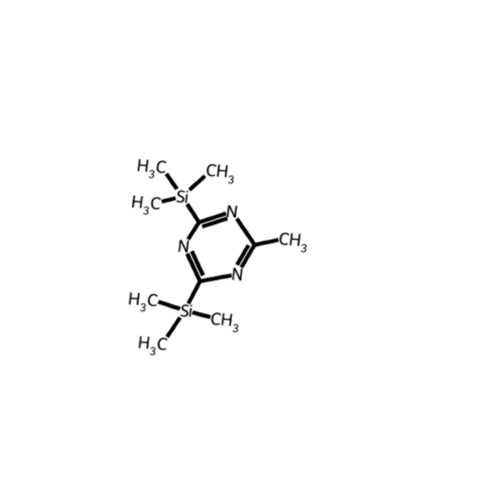 Cc1nc([Si](C)(C)C)nc([Si](C)(C)C)n1